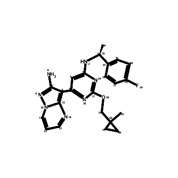 C[C@H](Nc1cc(-c2c(N)nn3cccnc23)nc(OCC2(C)CC2)n1)c1ccc(F)cc1